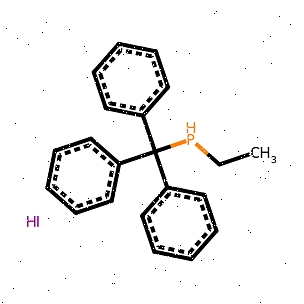 CCPC(c1ccccc1)(c1ccccc1)c1ccccc1.I